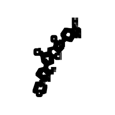 O=C1[C@H](Cc2c(Cl)cc(-c3ccc(N4CCOCC4)nc3F)cc2Cl)CCN1C1CCc2[nH]cnc2C1